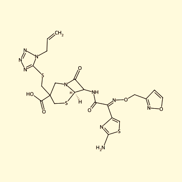 C=CCn1nnnc1SCC1(C(=O)O)CS[C@@H]2C(NC(=O)C(=NOCc3ccon3)c3csc(N)n3)C(=O)N2C1